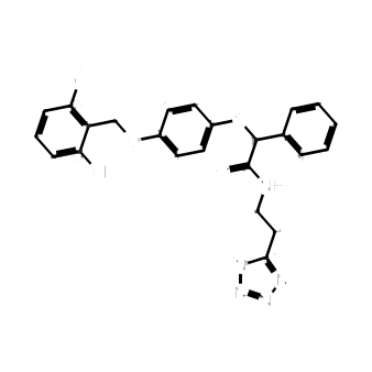 O=C(NCCc1nnn[nH]1)C(Sc1ccc(OCc2c(Cl)cccc2Cl)cc1)c1ccccc1